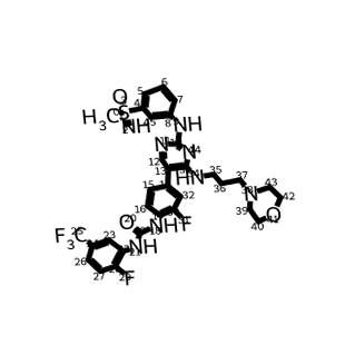 CS(=N)(=O)c1cccc(Nc2ncc(-c3ccc(NC(=O)Nc4cc(C(F)(F)F)ccc4F)c(F)c3)c(NCCCN3CCOCC3)n2)c1